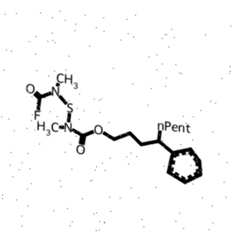 CCCCCC(CCCOC(=O)N(C)SN(C)C(=O)F)c1ccccc1